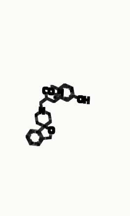 Cc1ccc(O)cc1CC(CN1CCC2(CC1)OCc1ccccc12)C(=O)O